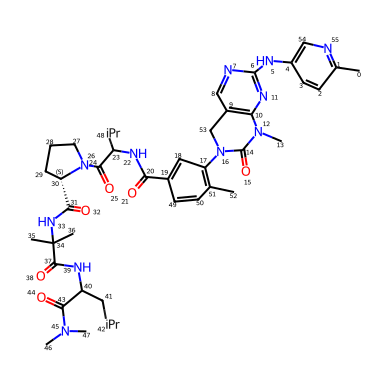 Cc1ccc(Nc2ncc3c(n2)N(C)C(=O)N(c2cc(C(=O)NC(C(=O)N4CCC[C@H]4C(=O)NC(C)(C)C(=O)NC(CC(C)C)C(=O)N(C)C)C(C)C)ccc2C)C3)cn1